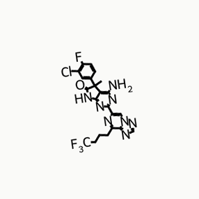 CC1(c2ccc(F)c(Cl)c2)C(=O)Nc2nc(-c3cn4ncnc4c(CCCC(F)(F)F)n3)nc(N)c21